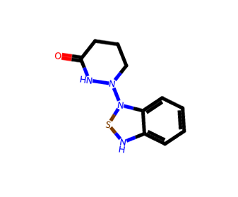 O=C1CCCN(N2SNc3ccccc32)N1